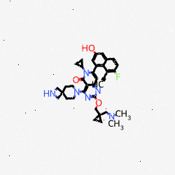 C#Cc1c(F)ccc2cc(O)cc(-c3cc4nc(OCC5(CN(C)C)CC5)nc(N5CCC6(CC5)CNC6)c4c(=O)n3C3CC3)c12